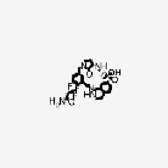 CN[C@H]1CCN(Cc2cccc(C#N)c2)C1=O.NC(=O)CC(F)(F)F.O=S(=O)(O)c1ccc2c(c1)CNCC2